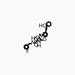 CN1C(=O)[C@@H](NC(=O)C(=O)NCCc2cccc(F)c2)COc2ccc(C#CC3(O)CCCCC3)cc21